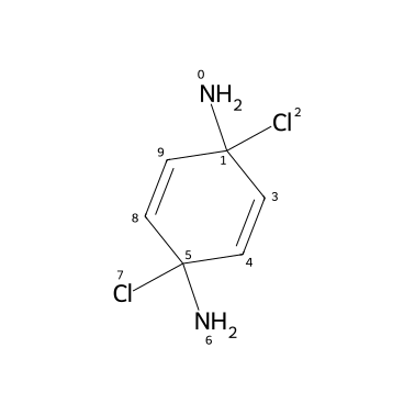 NC1(Cl)C=CC(N)(Cl)C=C1